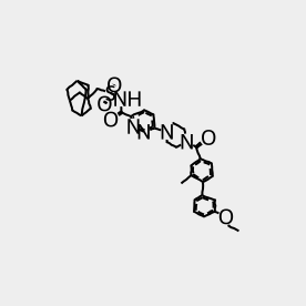 CCOc1cccc(-c2ccc(C(=O)N3CCN(c4ccc(C(=O)NS(=O)(=O)CC56CC7CC(CC(C7)C5)C6)nn4)CC3)cc2C)c1